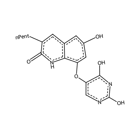 CCCCCc1cc2cc(O)cc(Oc3cnc(O)nc3O)c2[nH]c1=O